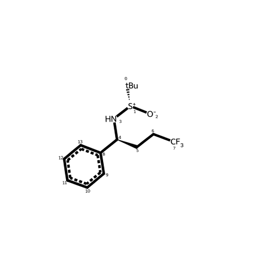 CC(C)(C)[S@+]([O-])N[C@@H](CCC(F)(F)F)c1ccccc1